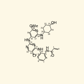 C=CC(=O)Nc1ccccc1Nc1nc(Nc2cc(NC3CCC(O)CC3)nc(OC)c2)ncc1C(F)(F)F